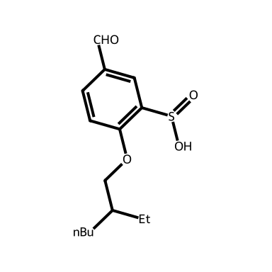 CCCCC(CC)COc1ccc(C=O)cc1S(=O)O